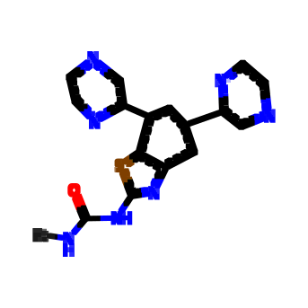 CCNC(=O)Nc1nc2cc(-c3cnccn3)cc(-c3cnccn3)c2s1